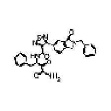 NC(=O)C(=O)C(Cc1ccccc1)NC(=O)c1nsnc1-c1ccc2c(c1)C(=O)N(Cc1ccccc1)C2